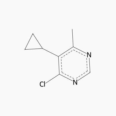 Cc1ncnc(Cl)c1C1CC1